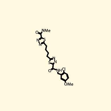 CNC(=O)c1nnc(CCCCc2nnc(C(=O)NCc3cc(OC)ccc3Cl)s2)s1